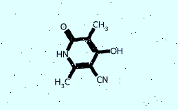 Cc1[nH]c(=O)c(C)c(O)c1C#N